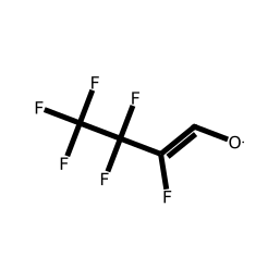 [O]C=C(F)C(F)(F)C(F)(F)F